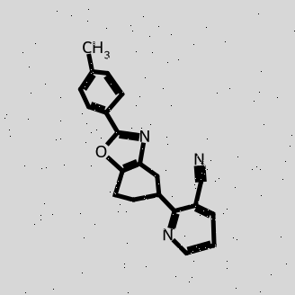 Cc1ccc(-c2nc3c(o2)CCC(c2ncccc2C#N)C3)cc1